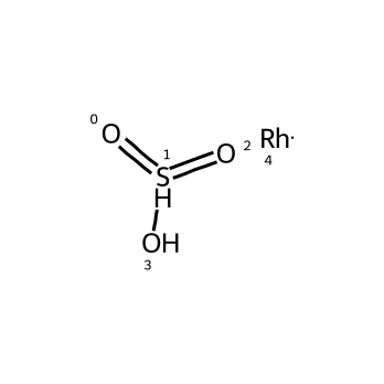 O=[SH](=O)O.[Rh]